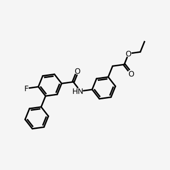 CCOC(=O)Cc1cccc(NC(=O)c2ccc(F)c(-c3ccccc3)c2)c1